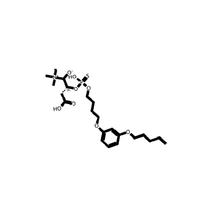 CCCCCOc1cccc(OCCCCOP(O)(=S)O[C@H](CC(=O)O)C([O-])[N+](C)(C)C)c1